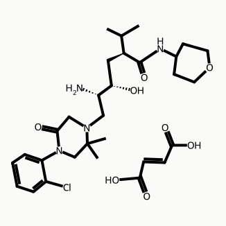 CC(C)[C@H](C[C@H](O)[C@@H](N)CN1CC(=O)N(c2ccccc2Cl)CC1(C)C)C(=O)NC1CCOCC1.O=C(O)/C=C/C(=O)O